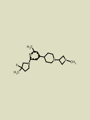 Cc1cc(C2CCN(C3CP(C)C3)CC2)cc(N2CCC(C)(F)C2)n1